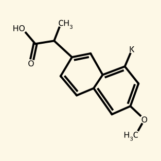 COc1c[c]([K])c2cc(C(C)C(=O)O)ccc2c1